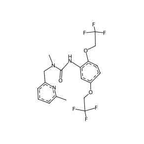 Cc1cccc(CN(C)C(=O)Nc2cc(OCC(F)(F)F)ccc2OCC(F)(F)F)n1